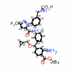 CC(C)(C)OC(=O)c1ccc(C(OCC2CC2)c2ccc(F)c(NC(=O)c3cc(C(F)(F)F)nn3-c3cccc(CNC(=O)O)c3)c2)cc1N